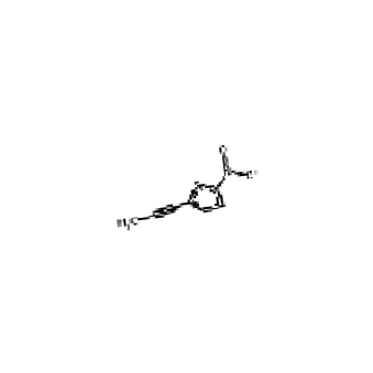 CC#Cc1ccc([N+](=O)[O-])s1